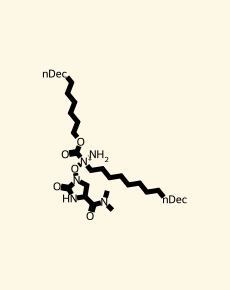 CCCCCCCCCCCCCCCCCC[N+](N)(ON1CC(C(=O)N(C)C)NC1=O)C(=O)OCCCCCCCCCCCCCCCC